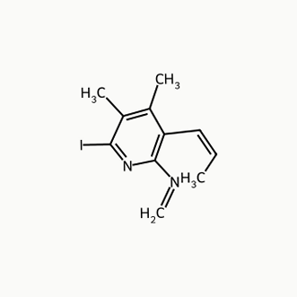 C=Nc1nc(I)c(C)c(C)c1/C=C\C